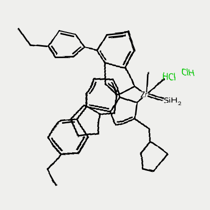 CCc1ccc(-c2cccc3c2C=C(CC2CCCC2)[CH]3[Zr]([CH3])([CH3])(=[SiH2])[CH]2C(CC3CCCC3)=Cc3c(-c4ccc(CC)cc4)cccc32)cc1.Cl.Cl